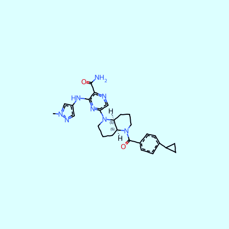 Cn1cc(Nc2nc(N3CCC[C@H]4[C@@H]3CCCN4C(=O)c3ccc(C4CC4)cc3)cnc2C(N)=O)cn1